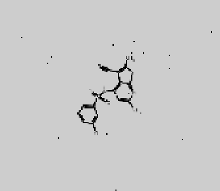 Cc1cc(NS(=O)(=O)c2cccc(Cl)c2)c2c(C#N)c(C)sc2n1